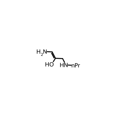 CCCNCC(O)=CN